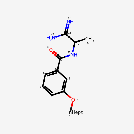 CCCCCCCOc1cccc(C(=O)NC(C)C(=N)N)c1